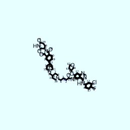 O=C(/C=C/CN1CCC(CN2CC3CCC2CN3c2ccc3c(c2)C(=O)N(C2CCC(=O)NC2=O)C3=O)CC1)Nc1cc2c(Nc3ccc(F)c(Cl)c3)ncnc2cc1O[C@H]1CCOC1